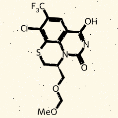 COCOC[C@H]1CSc2c(Cl)c(C(F)(F)F)cc3c(O)nc(=O)n1c23